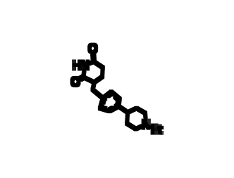 CCN1CCC(c2ccc(CC3CCC(=O)NC3=O)cc2)CC1